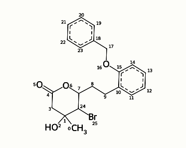 CC1(O)CC(=O)OC(CCc2ccccc2OCc2ccccc2)C1Br